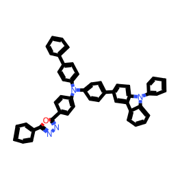 c1ccc(-c2ccc(N(c3ccc(-c4ccc5c(c4)c4ccccc4n5-c4ccccc4)cc3)c3ccc(-c4nnc(-c5ccccc5)o4)cc3)cc2)cc1